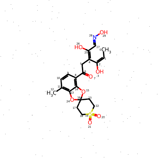 C\C=C(O)/C(CC(=O)c1ccc(C)c2c1OC1(CCS(=O)(=O)CC1)O2)=C(O)\C=N\O